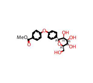 COC(=O)c1ccc(Oc2ccc([C@H]3O[C@H](CO)[C@@H](O)[C@H](O)[C@@H]3O)cc2)cc1